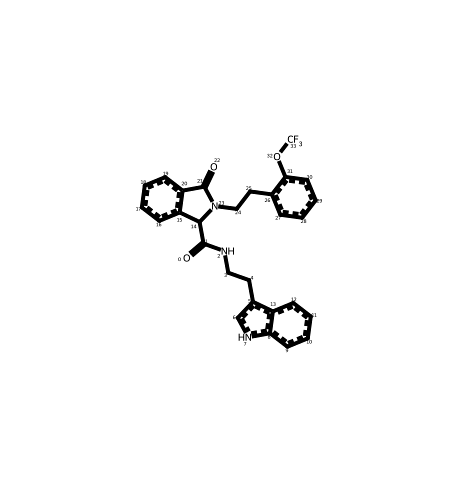 O=C(NCCc1c[nH]c2ccccc12)C1c2ccccc2C(=O)N1CCc1ccccc1OC(F)(F)F